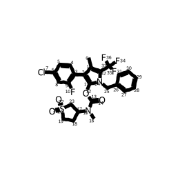 Cc1c(-c2ccc(Cl)cc2F)c(OC(=O)N(C)C2CCS(=O)(=O)C2)n(Cc2ccccc2)c1C(F)(F)F